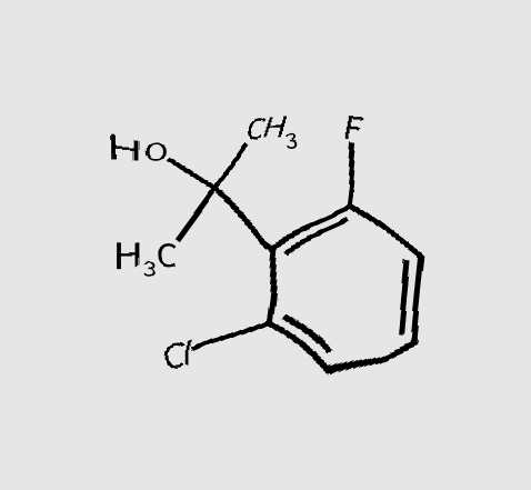 CC(C)(O)c1c(F)cccc1Cl